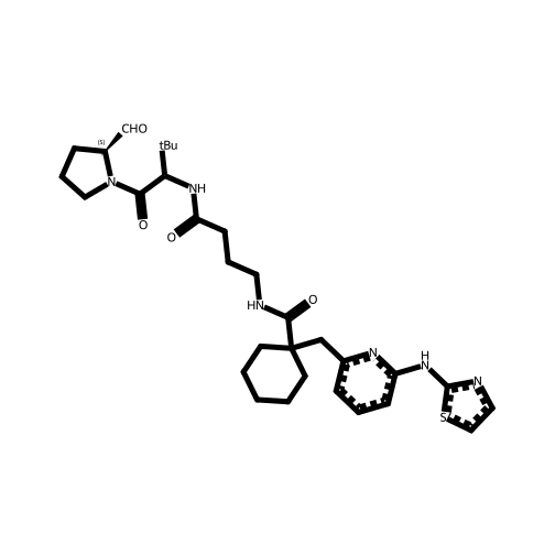 CC(C)(C)C(NC(=O)CCCNC(=O)C1(Cc2cccc(Nc3nccs3)n2)CCCCC1)C(=O)N1CCC[C@H]1C=O